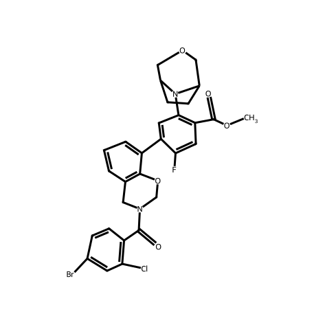 COC(=O)c1cc(F)c(-c2cccc3c2OCN(C(=O)c2ccc(Br)cc2Cl)C3)cc1N1C2CCC1COC2